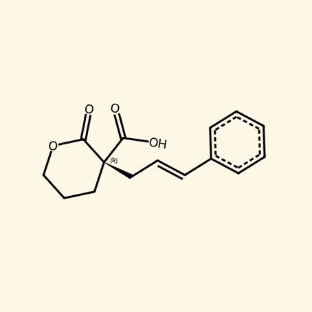 O=C(O)[C@]1(CC=Cc2ccccc2)CCCOC1=O